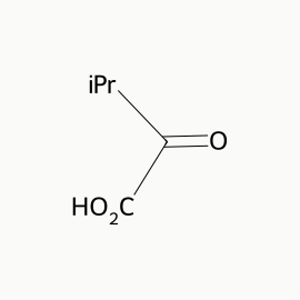 CC(C)C(=O)C(=O)O